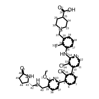 COc1nc(-c2cccc(-c3ccnc(Nc4cccc(CN5CCC(C(=O)O)CC5)c4F)c3Cl)c2Cl)ccc1CNC[C@@H]1CCC(=O)N1